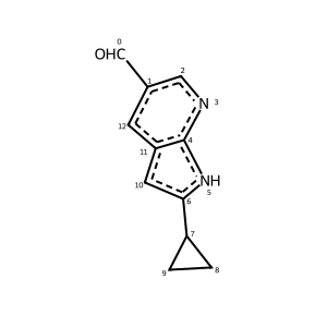 O=Cc1cnc2[nH]c(C3CC3)cc2c1